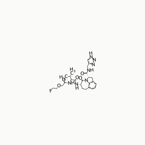 CC(C)[C@H](NC(=O)COCCF)C(=O)N[C@H]1CCc2cccc3c2N(C1=O)[C@H](C(=O)NCc1c[nH]nn1)C3